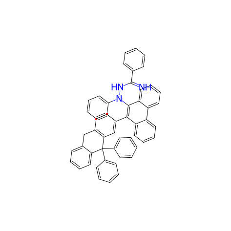 N=C(NN(c1ccccc1)c1c(-c2ccc3c(c2)C(c2ccccc2)(c2ccccc2)c2ccccc2C3)c2ccccc2c2ccccc12)c1ccccc1